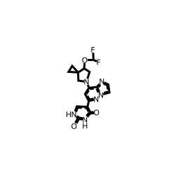 O=c1[nH]cc(-c2cc(N3CC(OC(F)F)C4(CC4)C3)c3nccn3n2)c(=O)[nH]1